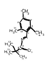 Cc1cc(C)c(C=N[S+]([O-])C(C)(C)C)c(C)c1